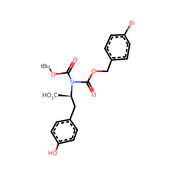 CC(C)(C)OC(=O)N(C(=O)OCc1ccc(Br)cc1)[C@@H](Cc1ccc(O)cc1)C(=O)O